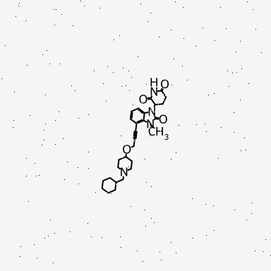 Cn1c(=O)n(C2CCC(=O)NC2=O)c2cccc(C#CCOC3CCN(CC4CCCCC4)CC3)c21